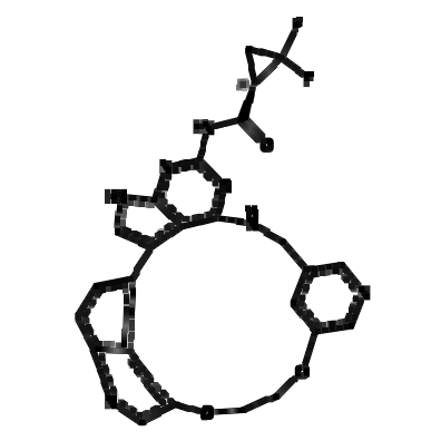 O=C(Nc1nc2c3c(c[nH]c3n1)-c1ccc3ncc(cc3c1)OCCOc1cncc(c1)CN2)[C@H]1CC1(F)F